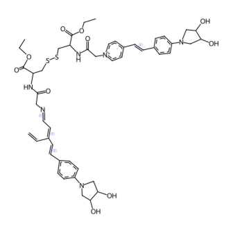 C=CC(/C=C/c1ccc(N2CC(O)C(O)C2)cc1)=C\C=N\CC(=O)NC(CSSCC(NC(=O)C[n+]1ccc(/C=C/c2ccc(N3CC(O)C(O)C3)cc2)cc1)C(=O)OCC)C(=O)OCC